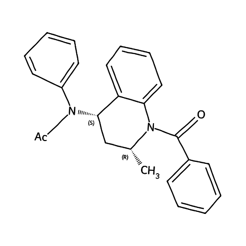 CC(=O)N(c1ccccc1)[C@H]1C[C@@H](C)N(C(=O)c2ccccc2)c2ccccc21